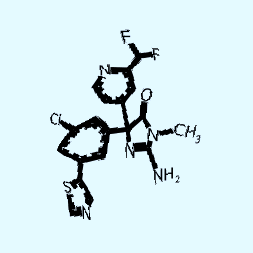 CN1C(=O)C(c2cc(Cl)cc(-c3cncs3)c2)(c2ccnc(C(F)F)c2)N=C1N